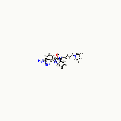 CC1CC(C)CN(CCCCCn2c(=O)c(-c3cccc(C(=N)N)c3)nc3ccccc32)C1